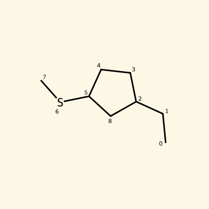 CCC1CCC(SC)C1